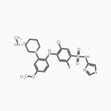 CN[C@@H]1CCCN(c2cc(OC)ccc2Nc2cc(F)c(S(=O)(=O)Nc3cscn3)cc2Cl)C1